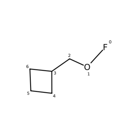 FOCC1CCC1